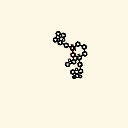 c1ccc(-c2cccc(-c3nc(-c4ccc(-c5cccc6c5Oc5ccccc5C65c6ccccc6-c6ccccc65)cc4)cc(-c4cccc(-c5cccc(-c6cccc(-c7nc(-c8ccc(-c9cccc%10c9Oc9ccccc9C%109c%10ccccc%10-c%10ccccc%109)cc8)cc(-c8ccc(-c9cccc%10c9oc9ccccc9%10)cc8)n7)c6)c5)c4)n3)c2)cc1